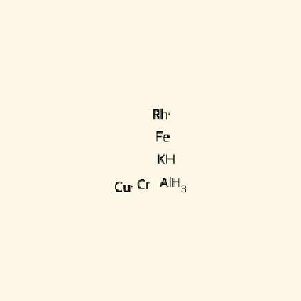 [AlH3].[Cr].[Cu].[Fe].[KH].[Rh]